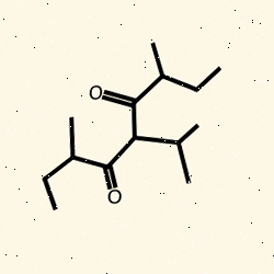 CCC(C)C(=O)C(C(=O)C(C)CC)C(C)C